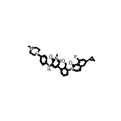 CN1CCN(c2ccc(Nc3cc(-c4cccc(-n5ccc6cc(C7CC7)cc(F)c6c5=O)c4CO)cn(C)c3=O)cc2)CC1